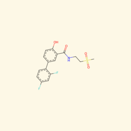 CS(=O)(=O)CCNC(=O)c1cc(-c2ccc(F)cc2F)ccc1O